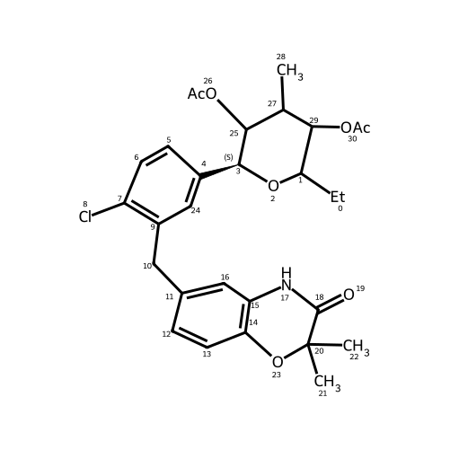 CCC1O[C@@H](c2ccc(Cl)c(Cc3ccc4c(c3)NC(=O)C(C)(C)O4)c2)C(OC(C)=O)C(C)C1OC(C)=O